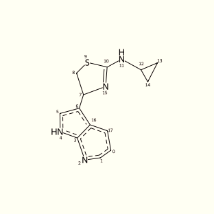 c1cnc2[nH]cc(C3CSC(NC4CC4)=N3)c2c1